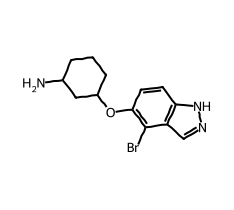 NC1CCCC(Oc2ccc3[nH]ncc3c2Br)C1